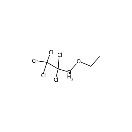 CCO[SiH2]C(Cl)(Cl)C(Cl)(Cl)Cl